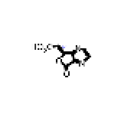 O=C(O)/C=C1\OC(=O)c2nccnc21